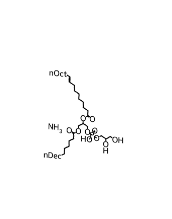 CCCCCCCCC=CCCCCCCCC(=O)OC(COC(=O)CCCCCCCCCCCCCCC)COP(=O)(O)OCC(O)CO.N